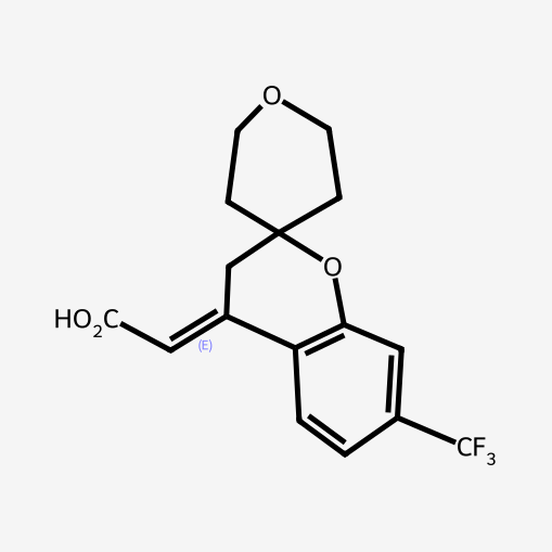 O=C(O)/C=C1\CC2(CCOCC2)Oc2cc(C(F)(F)F)ccc21